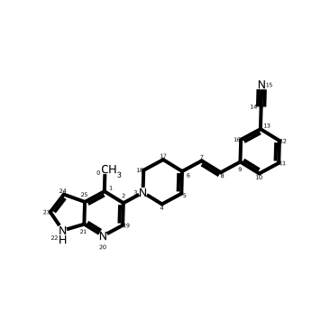 Cc1c(N2CC=C(C=Cc3cccc(C#N)c3)CC2)cnc2[nH]ccc12